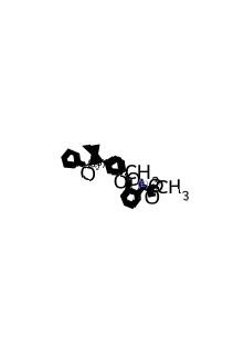 CO/C=C(/C(=O)OC)c1ccccc1COc1cccc([C@H]2[C@H](C(=O)c3ccccc3)C23CC3)c1